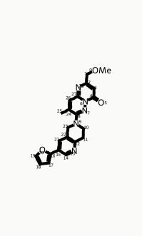 COCc1cc(=O)n2nc(N3CCc4ncc(-c5ccco5)cc4C3)c(C)cc2n1